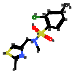 Cc1nc(CN(C)S(=O)(=O)c2ccc(C(F)(F)F)cc2Cl)cs1